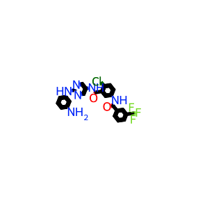 Nc1cccc(Nc2ncc(NC(=O)c3cc(NC(=O)c4cccc(C(F)(F)F)c4)ccc3Cl)cn2)c1